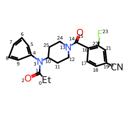 CCC(=O)N(c1ccccc1)C1CCN(C(=O)c2ccc(C#N)cc2F)CC1